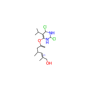 C=C(CC(C)/C=C(\C)CO)OC1=C(C(C)C)C(Cl)NC(Cl)N1